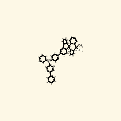 CC1(C)c2ccccc2C2(c3ccccc3-c3cc(-c4ccc(N(c5ccccc5)c5ccc(-c6ccccc6)cc5)cc4)ccc32)c2ccccc21